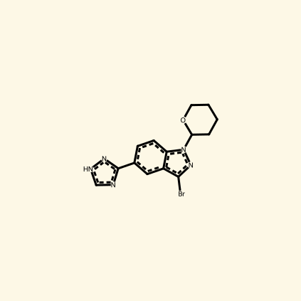 Brc1nn(C2CCCCO2)c2ccc(-c3nc[nH]n3)cc12